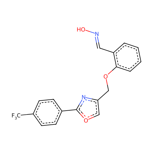 ON=Cc1ccccc1OCc1coc(-c2ccc(C(F)(F)F)cc2)n1